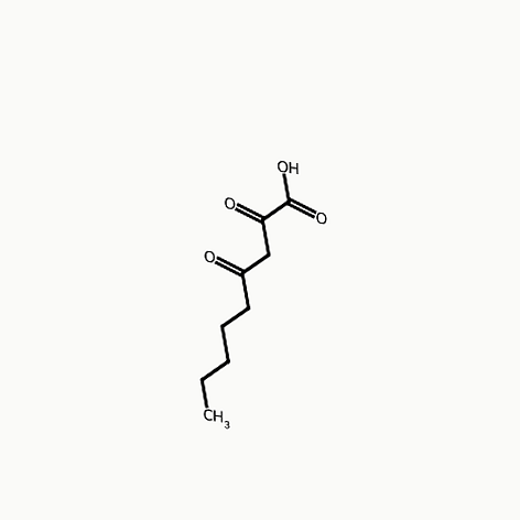 CCCCCC(=O)CC(=O)C(=O)O